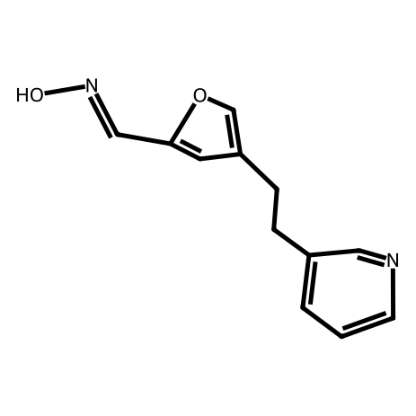 ON=Cc1cc(CCc2cccnc2)co1